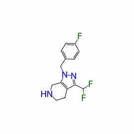 Fc1ccc(Cn2nc(C(F)F)c3c2CNCC3)cc1